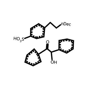 CCCCCCCCCCCCc1ccc(S(=O)(=O)O)cc1.O=C(c1ccccc1)C(O)c1ccccc1